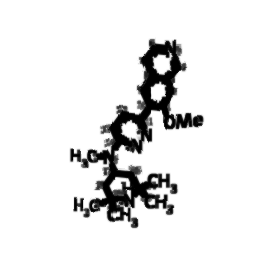 COc1cc2cnccc2cc1-c1ccc(N(C)C2CC(C)(C)NC(C)(C)C2)nn1